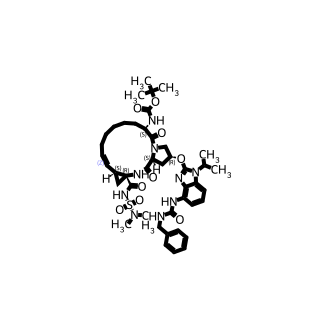 CC(C)n1c(O[C@@H]2C[C@H]3C(=O)N[C@]4(C(=O)NS(=O)(=O)N(C)C)C[C@H]4/C=C\CCCCC[C@H](NC(=O)OC(C)(C)C)C(=O)N3C2)nc2c(NC(=O)NCc3ccccc3)cccc21